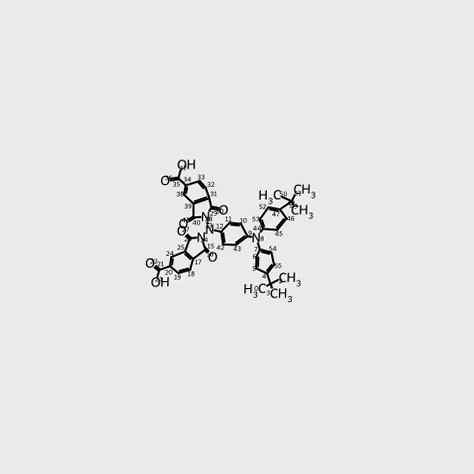 CC(C)(C)c1ccc(N(c2ccc(N(N3C(=O)c4ccc(C(=O)O)cc4C3=O)N3C(=O)c4ccc(C(=O)O)cc4C3=O)cc2)c2ccc(C(C)(C)C)cc2)cc1